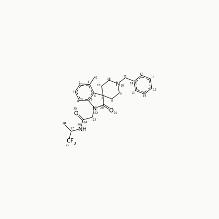 Cc1cccc2c1C1(CCN(Cc3ccccc3)CC1)C(=O)N2CC(=O)NC(C)C(F)(F)F